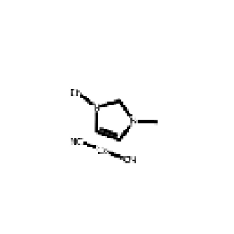 CCN1C=CN(C)C1.N#[C][Co][C]#N